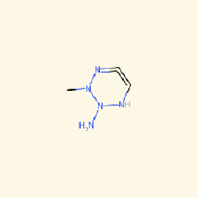 CN1N=C=CNN1N